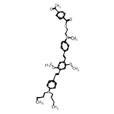 CCCCN(CCCC)c1ccc(/C=C/c2cc(OC)c(/C=C/c3ccc(N(C)CCOC(=O)c4ccc(C(C)=O)cc4)cc3)cc2OC)cc1